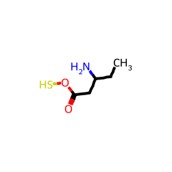 CCC(N)CC(=O)OS